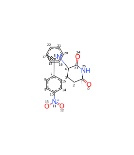 O=C1CCC(N2C(c3ccc([N+](=O)[O-])cc3)=Cc3ccc2cc3)C(=O)N1